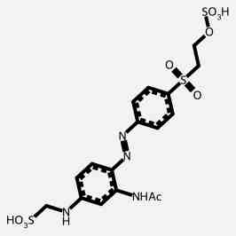 CC(=O)Nc1cc(NCS(=O)(=O)O)ccc1/N=N/c1ccc(S(=O)(=O)CCOS(=O)(=O)O)cc1